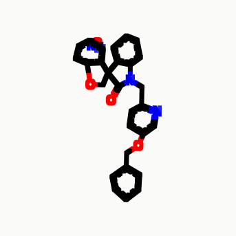 O=C1N(Cc2ccc(OCc3ccccc3)cn2)c2ccccc2C12COc1ccc3nonc3c12